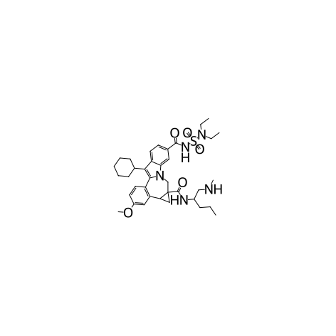 CCCC(CNC)NC(=O)C12CC1c1cc(OC)ccc1-c1c(C3CCCCC3)c3ccc(C(=O)NS(=O)(=O)N(CC)CC)cc3n1C2